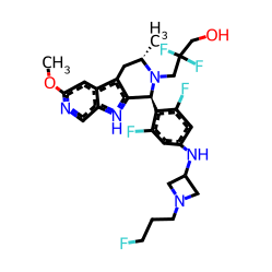 COc1cc2c3c([nH]c2cn1)[C@H](c1c(F)cc(NC2CN(CCCF)C2)cc1F)N(CC(F)(F)CO)[C@@H](C)C3